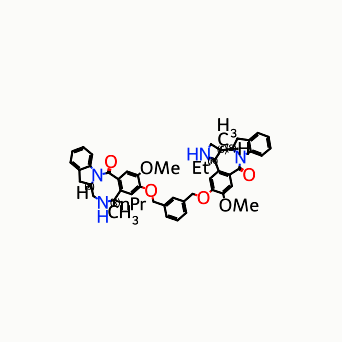 CCC[C@@]1(C)NC[C@@H]2Cc3ccccc3N2C(=O)c2cc(OC)c(OCc3cccc(COc4cc5c(cc4OC)C(=O)N4c6ccccc6C[C@H]4[C@]4(C)CN[C@]54CC)c3)cc21